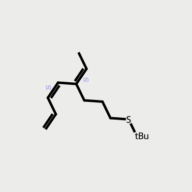 C=C/C=C\C(=C/C)CCCSC(C)(C)C